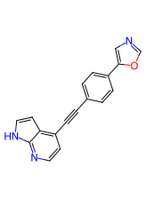 C(#Cc1ccnc2[nH]ccc12)c1ccc(-c2cnco2)cc1